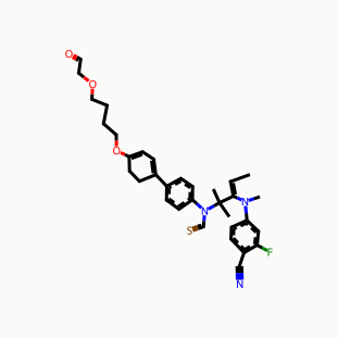 C/C=C(\N(C)c1ccc(C#N)c(F)c1)C(C)(C)N(C=S)c1ccc(C2=CC=C(OCCCCOCC=O)CC2)cc1